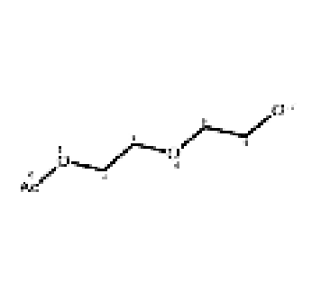 CC(=O)OCCOCC[O]